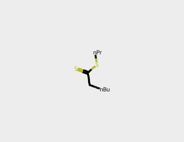 CCCCCC(=S)SCCC